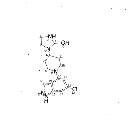 OC1NCCN1C1CCN(c2cc(Cl)cc3[nH]ncc23)CC1